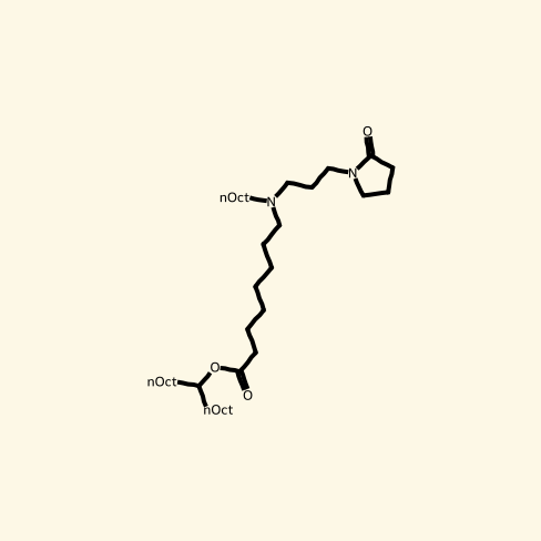 CCCCCCCCC(CCCCCCCC)OC(=O)CCCCCCCN(CCCCCCCC)CCCN1CCCC1=O